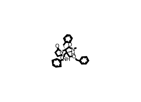 CNC(=O)[C@](Cc1ccccc1)(N1C(=O)CCC1=O)[C@@](C)(CNc1ccccc1)COCc1ccccc1